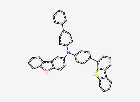 c1ccc(-c2ccc(N(c3ccc(-c4cccc5c4sc4ccccc45)cc3)c3ccc4oc5ccccc5c4c3)cc2)cc1